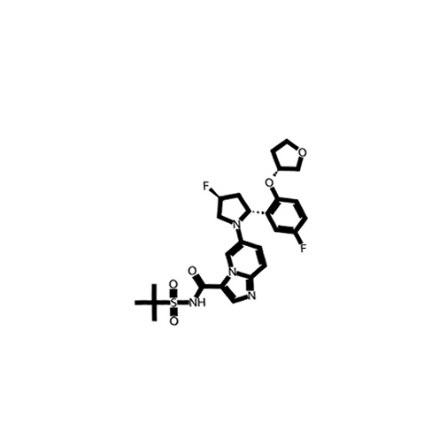 CC(C)(C)S(=O)(=O)NC(=O)c1cnc2ccc(N3C[C@@H](F)C[C@@H]3c3cc(F)ccc3O[C@@H]3CCOC3)cn12